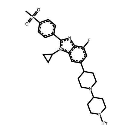 CC(C)N1CCC(N2CCC(c3cc(F)c4nc(-c5ccc(S(C)(=O)=O)cc5)n(C5CC5)c4c3)CC2)CC1